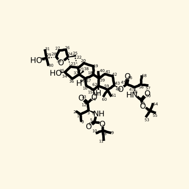 CC(C)[C@H](NC(=O)OC(C)(C)C)C(=O)O[C@H]1C[C@@H]2C(CC[C@]3(C)[C@@H]([C@@]4(C)CC[C@@H](C(C)(C)O)O4)[C@@H](O)C[C@@]23C)C2(C)CC[C@H](OC(=O)[C@@H](NC(=O)OC(C)(C)C)C(C)C)C(C)(C)[C@H]12